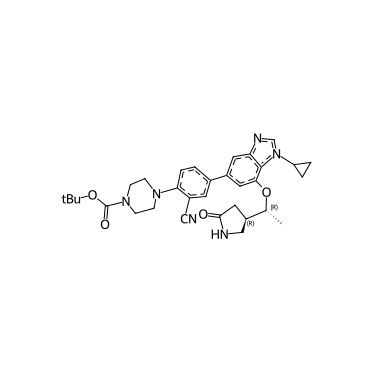 C[C@@H](Oc1cc(-c2ccc(N3CCN(C(=O)OC(C)(C)C)CC3)c(C#N)c2)cc2ncn(C3CC3)c12)[C@H]1CNC(=O)C1